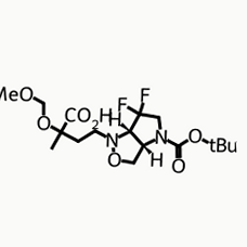 COCOC(C)(CCN1OC[C@@H]2[C@H]1C(F)(F)CN2C(=O)OC(C)(C)C)C(=O)O